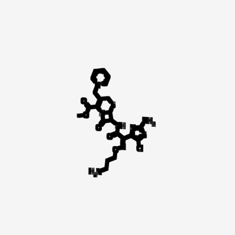 COC(=O)C1=C(C[n+]2ccccc2)CSC2C(NC(=O)/C(=N\OCCCN)c3nc(N)sc3Cl)C(=O)N12